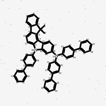 CC1(C)c2ccccc2-c2ccc3c(c21)c1ccc(N(c2ccc(-c4ccccc4)cc2)c2ccc(-c4ccccc4)cc2)cc1n3-c1ccc(-c2ccccc2)cc1